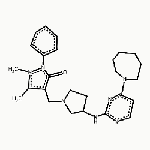 Cc1c(CN2CCC(Nc3nccc(N4CCCCCC4)n3)C2)c(=O)n(-c2ccccc2)n1C